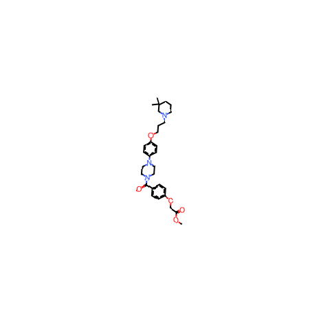 COC(=O)COc1ccc(C(=O)N2CCN(c3ccc(OCCCN4CCCC(C)(C)C4)cc3)CC2)cc1